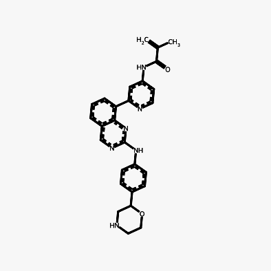 C=C(C)C(=O)Nc1ccnc(-c2cccc3cnc(Nc4ccc(C5CNCCO5)cc4)nc23)c1